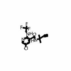 C#CC(C)(C)NC(=O)c1cc(Cl)cnc1NCC(F)(F)F